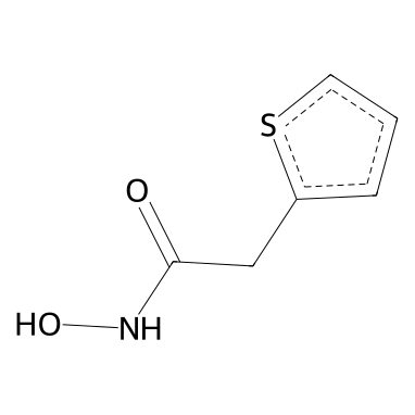 O=C(Cc1cccs1)NO